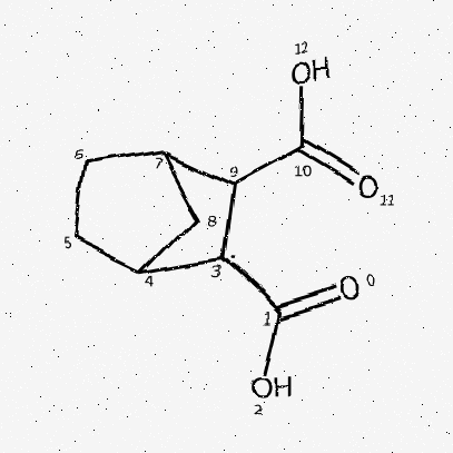 O=C(O)[C]1C2CCC(C2)C1C(=O)O